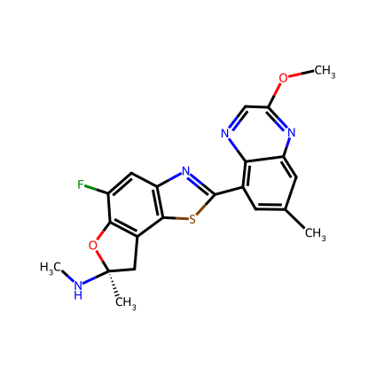 CN[C@]1(C)Cc2c(c(F)cc3nc(-c4cc(C)cc5nc(OC)cnc45)sc23)O1